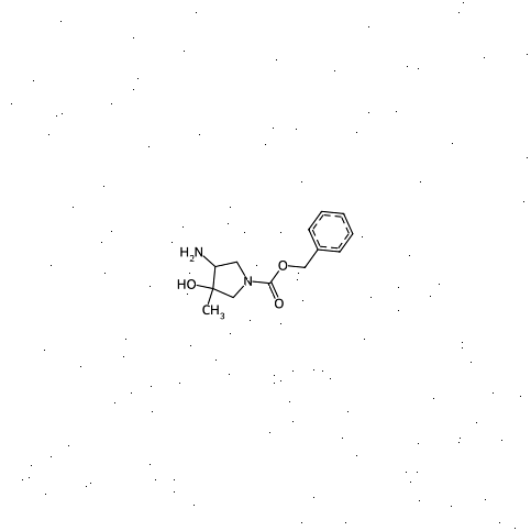 CC1(O)CN(C(=O)OCc2ccccc2)CC1N